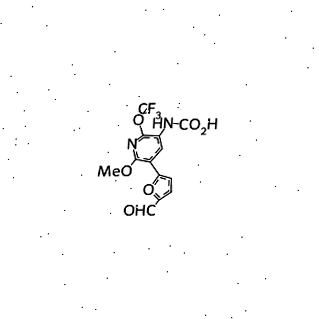 COc1nc(OC(F)(F)F)c(NC(=O)O)cc1-c1ccc(C=O)o1